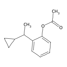 CC(=O)Oc1ccccc1C(C)C1CC1